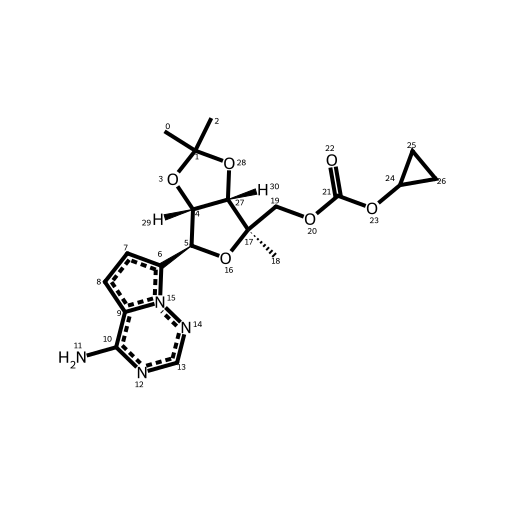 CC1(C)O[C@H]2[C@H](c3ccc4c(N)ncnn34)O[C@](C)(COC(=O)OC3CC3)[C@H]2O1